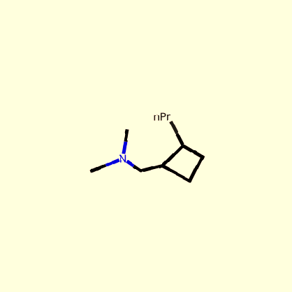 CCCC1CCC1CN(C)C